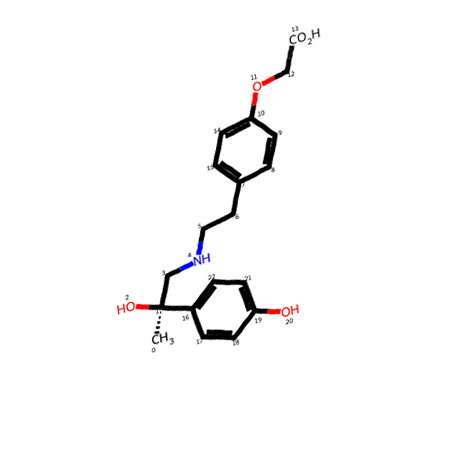 C[C@](O)(CNCCc1ccc(OCC(=O)O)cc1)c1ccc(O)cc1